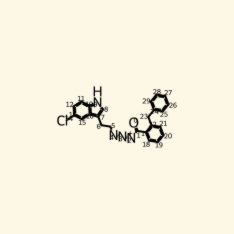 O=C(N=[N+]=NCCc1c[nH]c2ccc(Cl)cc12)c1ccccc1Cc1ccccc1